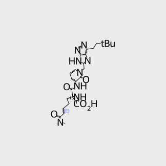 CN(C)C(=O)/C=C/CC[C@H](NC(=O)O)C(=O)Nc1cccn(Cc2nc3c(CCC(C)(C)C)ncnc3[nH]2)c1=O